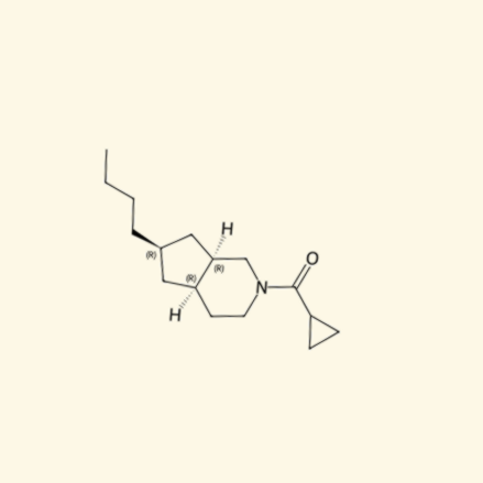 CCCC[C@@H]1C[C@@H]2CCN(C(=O)C3CC3)C[C@@H]2C1